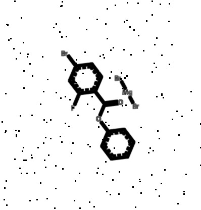 O=C(Oc1ccccc1)c1ccc(Br)cc1F.[Br][Mg][Br]